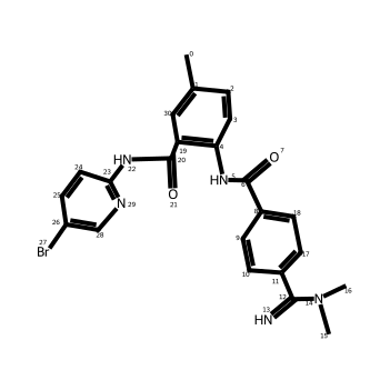 Cc1ccc(NC(=O)c2ccc(C(=N)N(C)C)cc2)c(C(=O)Nc2ccc(Br)cn2)c1